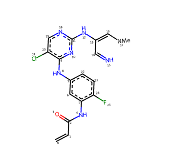 C=CC(=O)Nc1cc(Nc2nc(N/C(C=N)=C/NC)ncc2Cl)ccc1F